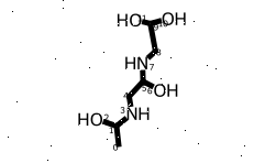 CC(O)NCC(O)NCC(O)O